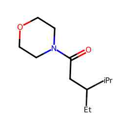 CCC(CC(=O)N1CCOCC1)C(C)C